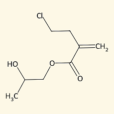 C=C(CCCl)C(=O)OCC(C)O